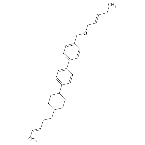 CC=CCCC1CCC(c2ccc(-c3ccc(COCC=CCC)cc3)cc2)CC1